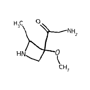 COC1(C(N)=O)CNC1C